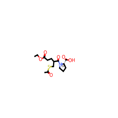 CCOC(=O)CCC(CSC(C)=O)C(=O)N1CCC[C@H]1C(=O)O